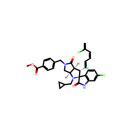 C=C(Cl)/C=C\C=C(/F)[C@H]1[C@@H]2C(=O)N(Cc3ccc(C(=O)OC)cc3)C[C@@H]2N(CC2CC2)[C@@]12C(=O)Nc1cc(Cl)ccc12